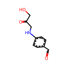 O=Cc1ccc(NCC(=O)CO)cc1